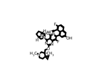 C#Cc1c(F)ccc2cc(O)cc(-c3nc(OC)c4c(N5C[C@H]6CC[C@@H](C5)N6)nc(OC[C@]5(C)CN(C)CCC56CC6)nc4c3F)c12